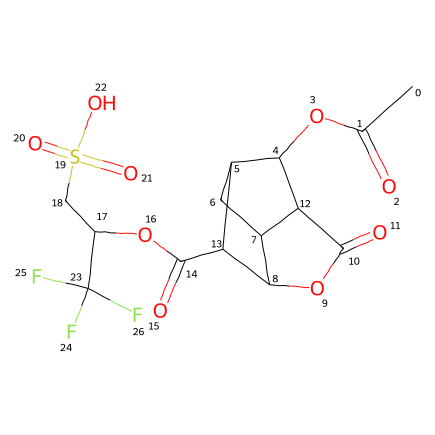 CC(=O)OC1C2CC3C(OC(=O)C31)C2C(=O)OC(CS(=O)(=O)O)C(F)(F)F